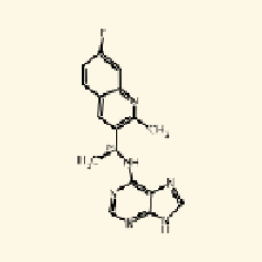 Cc1nc2cc(F)ccc2cc1[C@H](C)Nc1ncnc2[nH]cnc12